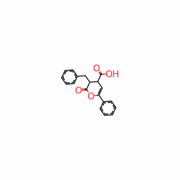 O=C(O)C1C=C(c2ccccc2)OC(=O)C1Cc1ccccc1